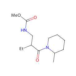 CCC(CNC(=O)OC)C(=O)N1CCCCC1C